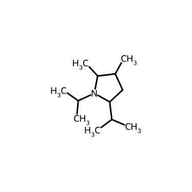 CC(C)C1CC(C)C(C)N1C(C)C